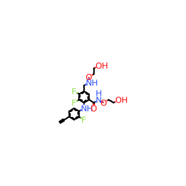 C#Cc1ccc(Nc2c(C(=O)NOCCO)cc(CNOCCO)c(F)c2F)c(F)c1